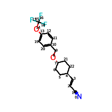 N#C/C=C/[C@H]1CC[C@H](OCc2ccc(OC(F)(F)F)cc2)CC1